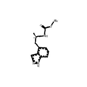 C[C@H](Cc1cccc2[nH]ncc12)NC(=O)OC(C)(C)C